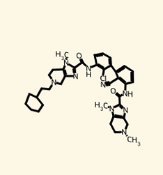 CN1CCc2c(nc(C(=O)Nc3cccc(-c4cccc(NC(=O)c5nc6c(n5C)CCN(CCC5CCCCC5)C6)c4Cl)c3C#N)n2C)C1